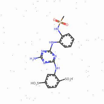 CS(=O)(=O)Nc1ccccc1Nc1nc(N)nc(Nc2cc(S(=O)(=O)O)ccc2S(=O)(=O)O)n1